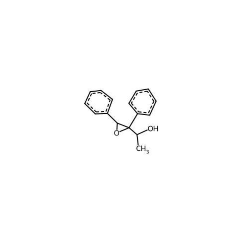 CC(O)C1(c2ccccc2)OC1c1ccccc1